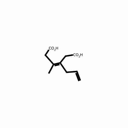 C=CC/C(CC(=O)O)=C(\C)CC(=O)O